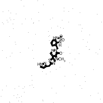 Cn1c2nc(Cc3cc[nH]n3)sc2c2cnn(Cc3cccc4c3NS(=O)(=O)N4)c(=O)c21